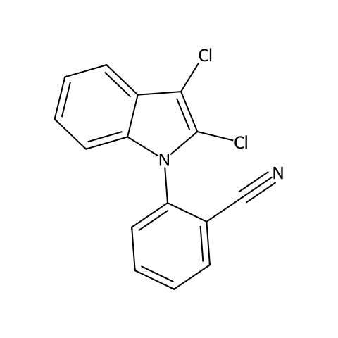 N#Cc1ccccc1-n1c(Cl)c(Cl)c2ccccc21